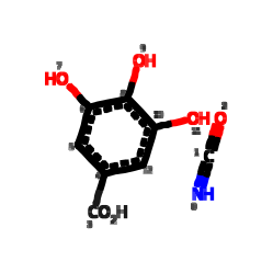 N=C=O.O=C(O)c1cc(O)c(O)c(O)c1